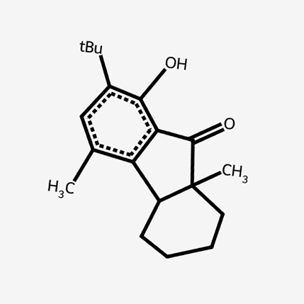 Cc1cc(C(C)(C)C)c(O)c2c1C1CCCCC1(C)C2=O